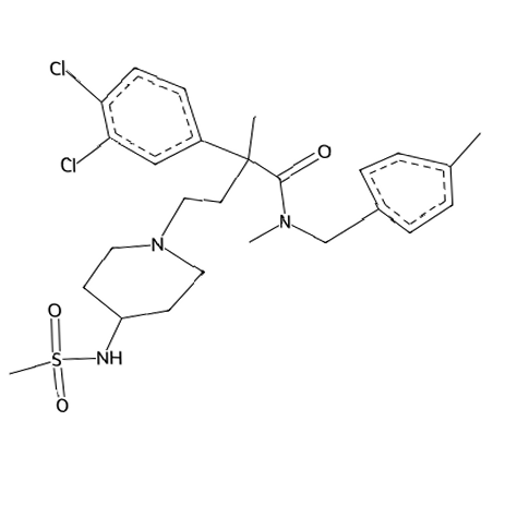 Cc1ccc(CN(C)C(=O)C(C)(CCN2CCC(NS(C)(=O)=O)CC2)c2ccc(Cl)c(Cl)c2)cc1